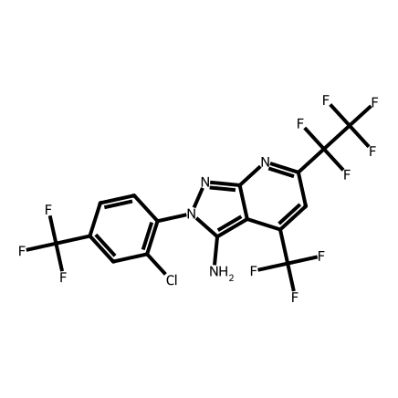 Nc1c2c(C(F)(F)F)cc(C(F)(F)C(F)(F)F)nc2nn1-c1ccc(C(F)(F)F)cc1Cl